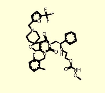 CONC(=O)OCCN[C@@H](Cn1c(=O)c2c(n(Cc3c(C)cccc3F)c1=O)COC21CCN(Cc2ccc(C(F)(F)F)o2)CC1)c1ccccc1